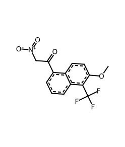 COc1ccc2c(C(=O)C[N+](=O)[O-])cccc2c1C(F)(F)F